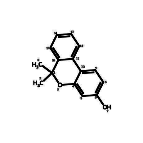 CC1(C)Oc2cc(O)ccc2-c2ccccc21